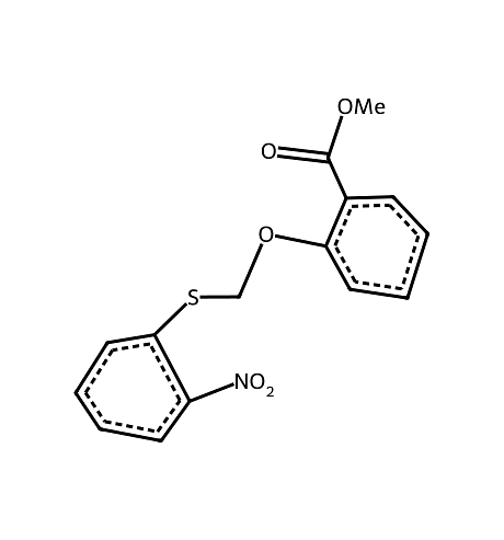 COC(=O)c1ccccc1OCSc1ccccc1[N+](=O)[O-]